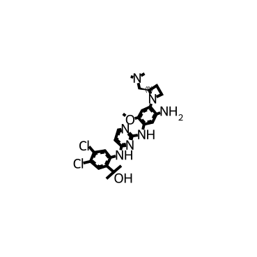 COc1cc(N2CC[C@@H]2CN(C)C)c(N)cc1Nc1nccc(Nc2cc(Cl)c(Cl)cc2C(C)(C)O)n1